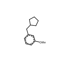 COc1cccc(CC2CCCC2)c1